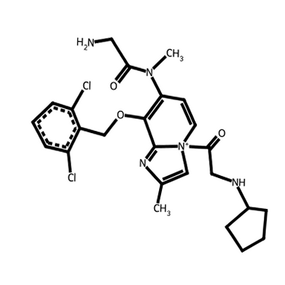 CC1=C[N+]2(C(=O)CNC3CCCC3)C=CC(N(C)C(=O)CN)=C(OCc3c(Cl)cccc3Cl)C2=N1